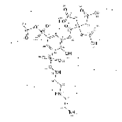 CC(=O)OS(=O)(=O)c1cc(OC(=O)C(CC(=O)O)(CC(=O)O)CC(=O)O)c(O)c(S(=O)(=O)ONCCNCCN)c1